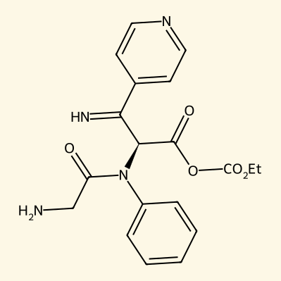 CCOC(=O)OC(=O)[C@H](C(=N)c1ccncc1)N(C(=O)CN)c1ccccc1